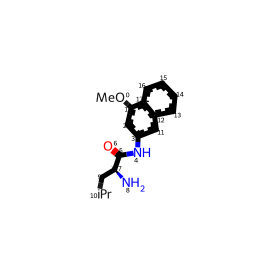 COc1cc(NC(=O)[C@@H](N)CC(C)C)cc2ccccc12